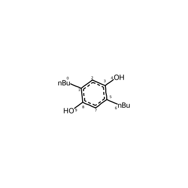 CCCCc1cc(O)c(CCCC)cc1O